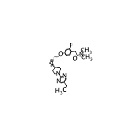 CCc1cnc(N2CCC([C@H]3C[C@@H]3CCOc3ccc(CC(=O)N(C)C)c(F)c3)CC2)nc1